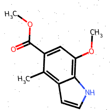 COC(=O)c1cc(OC)c2[nH]ccc2c1C